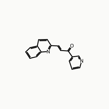 O=C(C=Cc1ccc2ccccc2n1)c1cccnc1